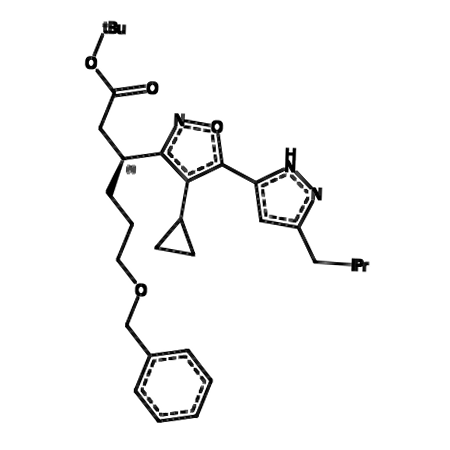 CC(C)Cc1cc(-c2onc([C@@H](CCCOCc3ccccc3)CC(=O)OC(C)(C)C)c2C2CC2)[nH]n1